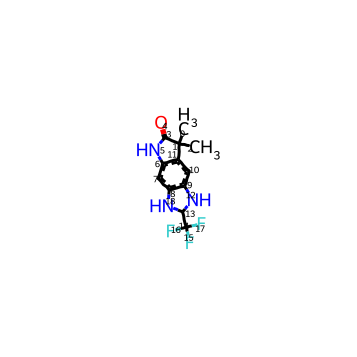 CC1(C)C(=O)Nc2cc3c(cc21)NC(C(F)(F)F)N3